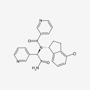 NC(=O)[C@@H](c1cccnc1)N(C(=O)c1cccnc1)[C@@H]1CCc2c(Cl)cccc21